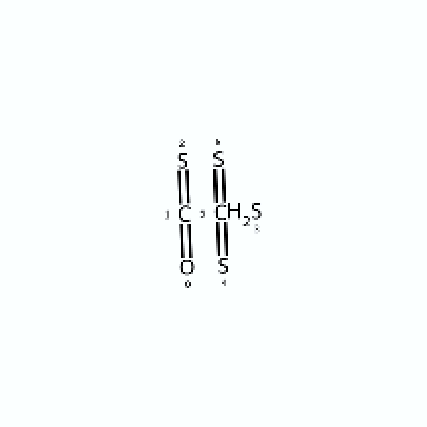 O=C=S.S.S=C=S